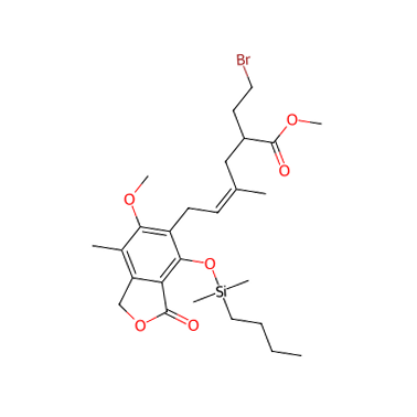 CCCC[Si](C)(C)Oc1c(CC=C(C)CC(CCBr)C(=O)OC)c(OC)c(C)c2c1C(=O)OC2